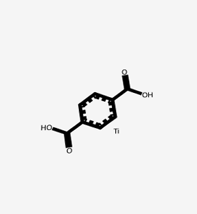 O=C(O)c1ccc(C(=O)O)cc1.[Ti]